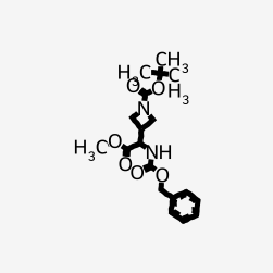 COC(=O)C(NC(=O)OCc1ccccc1)C1CN(C(=O)OC(C)(C)C)C1